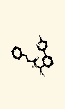 CC(NC(=O)CCc1ccccc1)c1cccc(-c2ccc(F)nc2)c1